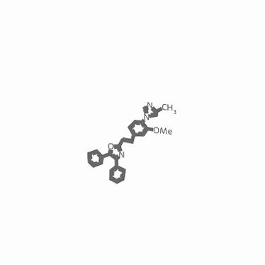 COc1cc(C=Cc2nc(-c3ccccc3)c(-c3ccccc3)o2)ccc1-n1cnc(C)c1